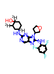 [2H]C1CC([2H])(Nc2ncc3nc(Nc4c(F)cc(F)cc4F)n(C4CCOC4)c3n2)CCC1([2H])O